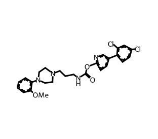 COc1ccccc1N1CCN(CCCNC(=O)Oc2ccc(-c3ccc(Cl)cc3Cl)cn2)CC1